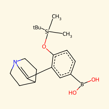 CC(C)(C)[Si](C)(C)Oc1ccc(B(O)O)cc1C1=CN2CCC1CC2